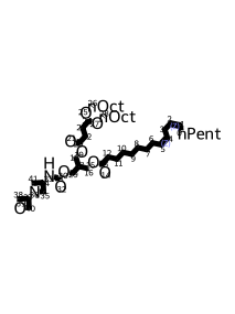 CCCCC/C=C\C/C=C\CCCCCCCC(=O)OCC(COC(=O)CCC(OCCCCCCCC)OCCCCCCCC)COC(=O)NC1CN(C2COC2)C1